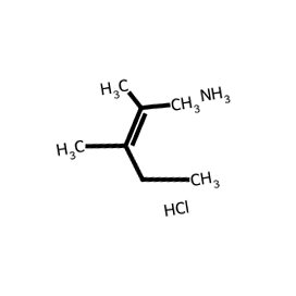 CCC(C)=C(C)C.Cl.N